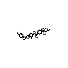 CCOC(=O)Oc1ccc(C(=O)Oc2ccc(OCOc3ccc(CC)cc3)c(C)c2)cc1